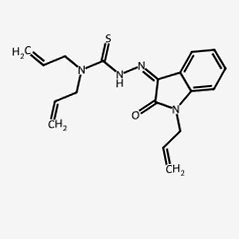 C=CCN(CC=C)C(=S)NN=C1C(=O)N(CC=C)c2ccccc21